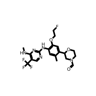 CNc1nc(Nc2cc(C)c(C3CN(C=O)CCO3)cc2OCCF)ncc1C(F)(F)F